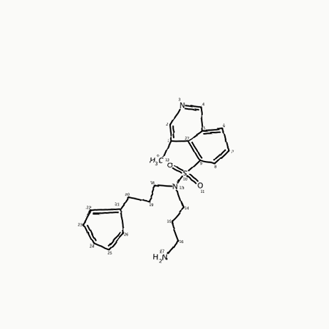 Cc1cncc2cccc(S(=O)(=O)N(CCCN)CCCc3ccccc3)c12